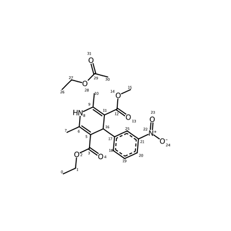 CCOC(=O)C1=C(C)NC(C)=C(C(=O)OC)C1c1cccc([N+](=O)[O-])c1.CCOC(C)=O